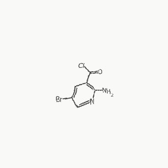 Nc1ncc(Br)cc1C(=O)Cl